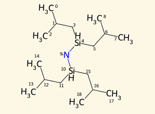 CC(C)C[SiH](CC(C)C)[N][SiH](CC(C)C)CC(C)C